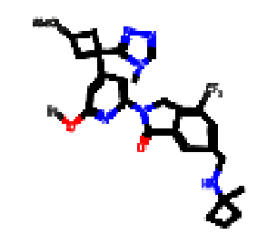 CCOc1cc(C2(c3nncn3C)CC(OC)C2)cc(N2Cc3c(cc(CNC4(C)CCC4)cc3C(F)(F)F)C2=O)n1